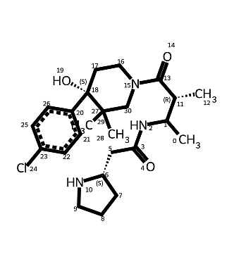 CC(NC(=O)C[C@@H]1CCCN1)[C@@H](C)C(=O)N1CC[C@](O)(c2ccc(Cl)cc2)C(C)(C)C1